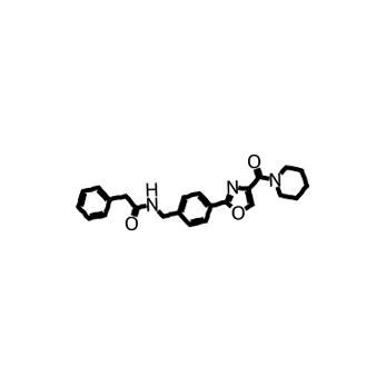 O=C(Cc1ccccc1)NCc1ccc(-c2nc(C(=O)N3CCCCC3)co2)cc1